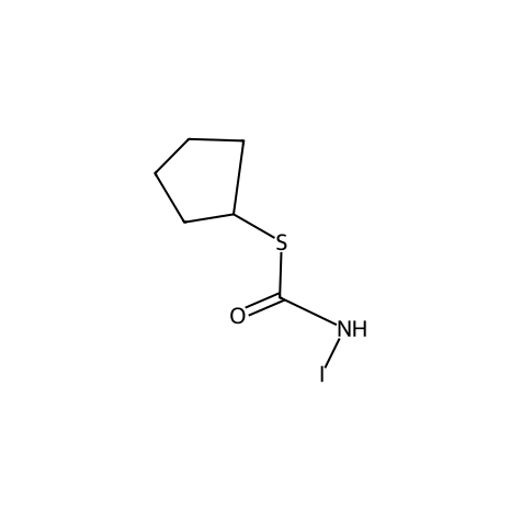 O=C(NI)SC1CCCC1